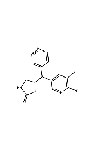 O=C1CC(C(c2ccncc2)c2ccc(F)c(F)c2)CN1